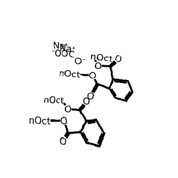 CCCCCCCCOC(=O)c1ccccc1C(=O)OCCCCCCCC.CCCCCCCCOC(=O)c1ccccc1C(=O)OCCCCCCCC.O=C([O-])[O-].[Na+].[Na+]